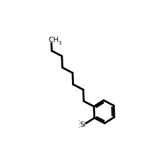 CCCCCCCCc1ccccc1[Si]